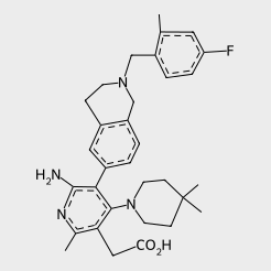 Cc1cc(F)ccc1CN1CCc2cc(-c3c(N)nc(C)c(CC(=O)O)c3N3CCC(C)(C)CC3)ccc2C1